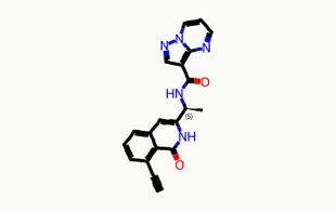 C#Cc1cccc2cc([C@H](C)NC(=O)c3cnn4cccnc34)[nH]c(=O)c12